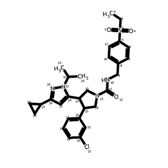 CCS(=O)(=O)c1ccc(CNC(=O)N2CC(c3cccc(Cl)c3)C(c3cc(C4CC4)nn3C(C)C)C2)cc1